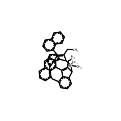 CCC1=C(c2cccc3ccccc23)c2c3cccc2[CH]1[Hf]([CH3])([CH3])[CH]1C(CC)=C(c2cccc4ccccc24)c2c(cccc21)CC3